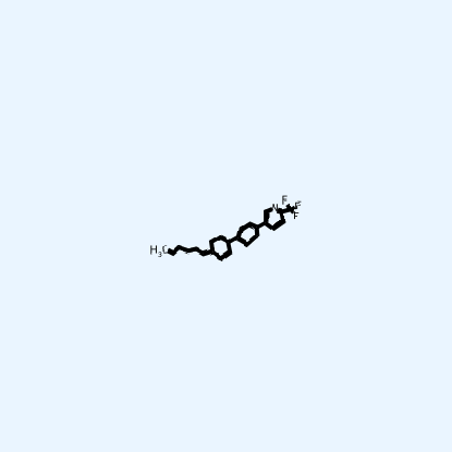 CCCCCCC1CCC(C2CCC(c3ccc(C(F)(F)F)nc3)CC2)CC1